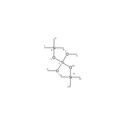 C[O][Ti]([O]C)([O][Si](C)(C)C)[O][Si](C)(C)C